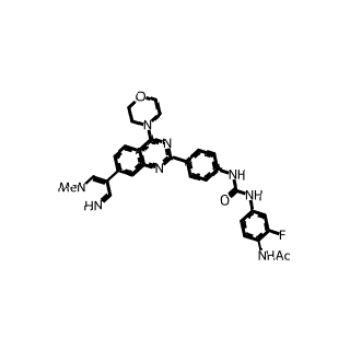 CN/C=C(\C=N)c1ccc2c(N3CCOCC3)nc(-c3ccc(NC(=O)Nc4ccc(NC(C)=O)c(F)c4)cc3)nc2c1